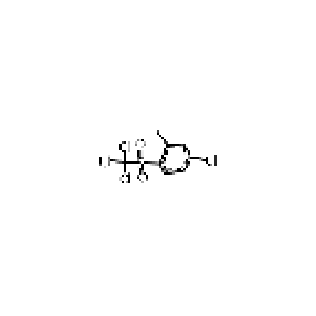 Cc1cc(Cl)ccc1S(=O)(=O)C(Cl)(Cl)Cl